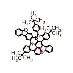 CC(C)(C)c1ccc(N2B3c4cc5oc6ccccc6c5cc4N(c4ccc(C(C)(C)C)cc4-c4ccccc4)c4cc5sc6ccccc6c5c(c43)-c3ccc(C(C)(C)C)cc32)cc1